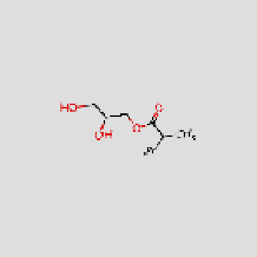 CC(C)C(C)C(=O)OCC(O)CO